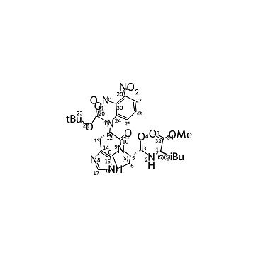 CC[C@H](C)[C@H](NC(=O)[C@@H]1CCCN1C(=O)[C@H](Cc1c[nH]cn1)N(C(=O)OC(C)(C)C)c1cccc([N+](=O)[O-])c1[N+](=O)[O-])C(=O)OC